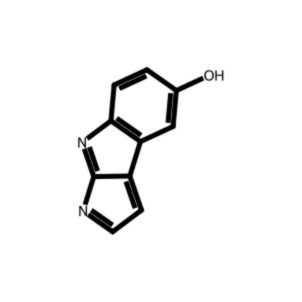 Oc1ccc2c(c1)C1=CC=NC1=N2